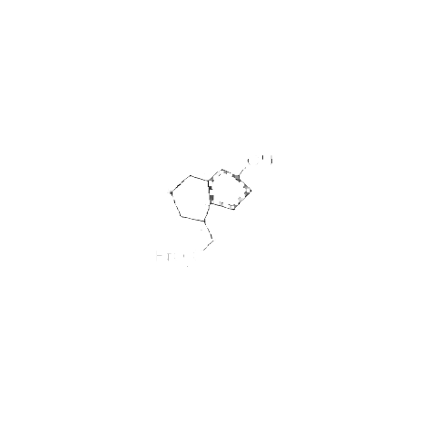 CCOC(=O)CC1CCCc2cc(O)ccc21